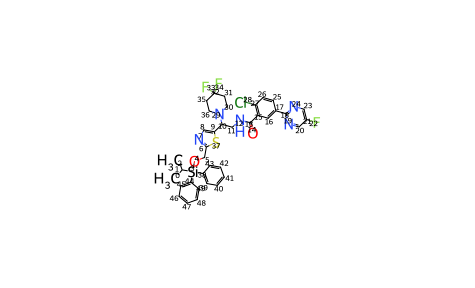 CC(C)[Si](OCc1ncc(C(CNC(=O)c2cc(-c3ncc(F)cn3)ccc2Cl)N2CCC(F)(F)CC2)s1)(c1ccccc1)c1ccccc1